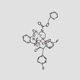 COc1ccccc1CN(CC(=O)C(c1ccc(F)cc1)c1ccc(F)cc1)C[C@@H]1CN(C(=O)OCc2ccccc2)CC[N+]1(C(=O)[O-])C(C)(C)C